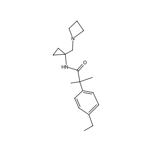 CCc1ccc(C(C)(C)C(=O)NC2(CN3CCC3)CC2)cc1